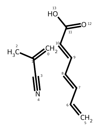 C=C(C)C#N.C=CC=CC=CC(=O)O